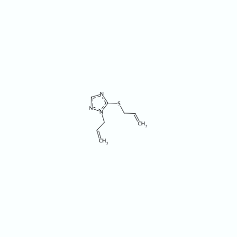 C=CCSc1ncnn1CC=C